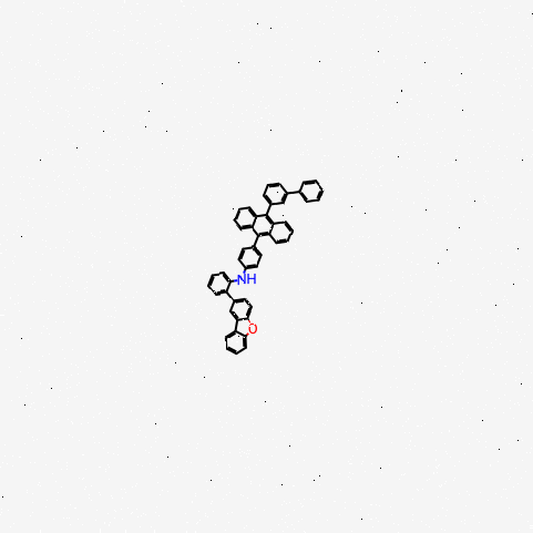 c1ccc(-c2cccc(-c3c4ccccc4c(-c4ccc(Nc5ccccc5-c5ccc6oc7ccccc7c6c5)cc4)c4ccccc34)c2)cc1